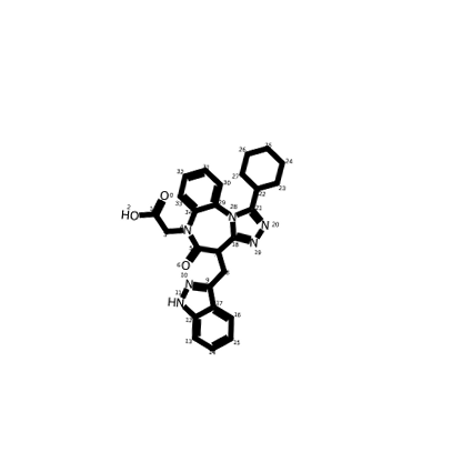 O=C(O)CN1C(=O)C(Cc2n[nH]c3ccccc23)c2nnc(C3CCCCC3)n2-c2ccccc21